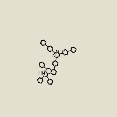 C1=C(c2ccccc2)N2NC(c3ccccc3)C(c3ccccc3)=C2c2cccc(-c3ccc(-c4cc(-c5ccc(-c6ccccc6)cc5)nc(-c5ccc(-c6ccccc6)cc5)n4)cc3)c21